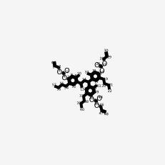 C=CCOC(=O)Oc1cc(C)c(C(C)CC(c2cc(CCCC)c(OC(=O)OCC=C)cc2C)c2cc(CCCC)c(OC(=O)OCC=C)cc2C)cc1CCCC